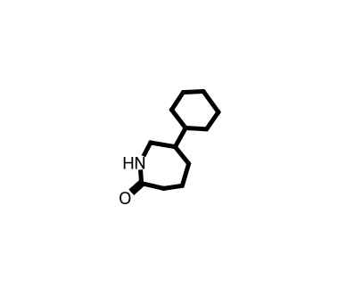 O=C1CCCC(C2CCCCC2)CN1